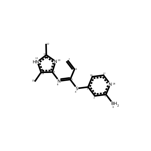 Bc1cc(S/C(C=C)=N/c2nc(C)[nH]c2C)ccn1